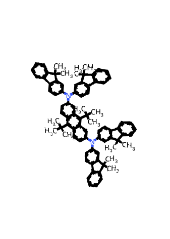 CC(C)(C)c1c2ccc(N(c3ccc4c(c3)C(C)(C)c3ccccc3-4)c3ccc4c(c3)C(C)(C)c3ccccc3-4)cc2c(C(C)(C)C)c2cc(N(c3ccc4c(c3)C(C)(C)c3ccccc3-4)c3ccc4c(c3)C(C)(C)c3ccccc3-4)ccc12